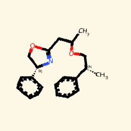 CC(CC1=N[C@H](c2ccccc2)CO1)OC[C@H](C)c1ccccc1